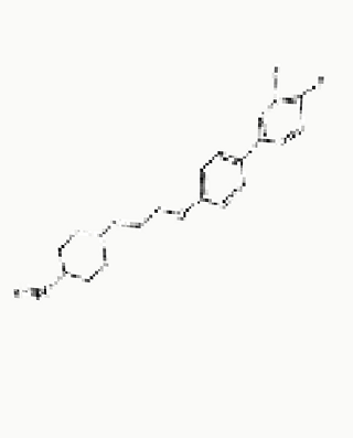 CCCCCCCC1CCC(/C=C/COc2ccc(-c3ccc(F)c(F)c3)cc2)CC1